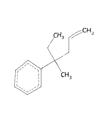 C=CCC(C)(CC)c1ccccc1